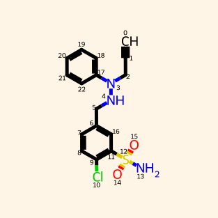 C#CCN(NCc1ccc(Cl)c(S(N)(=O)=O)c1)c1ccccc1